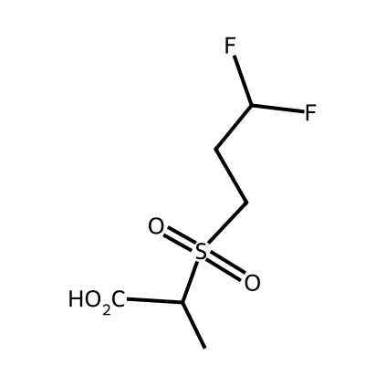 CC(C(=O)O)S(=O)(=O)CCC(F)F